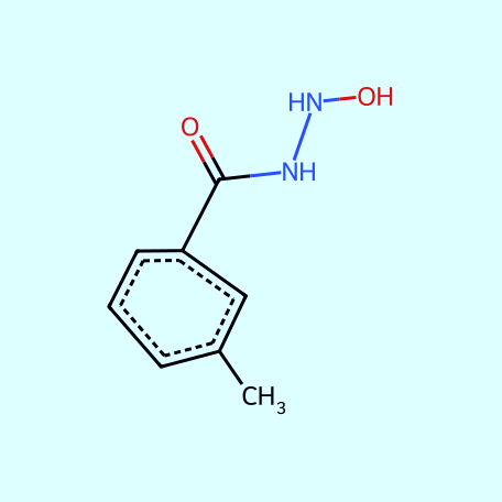 Cc1cccc(C(=O)NNO)c1